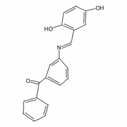 O=C(c1ccccc1)c1cccc(N=Cc2cc(O)ccc2O)c1